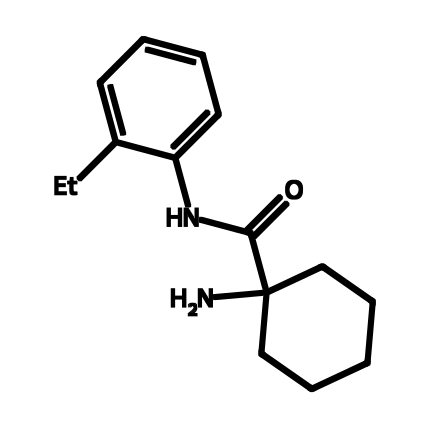 CCc1ccccc1NC(=O)C1(N)CCCCC1